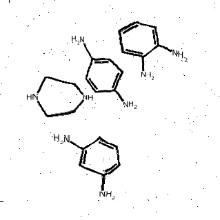 C1CNCCN1.Nc1ccc(N)cc1.Nc1cccc(N)c1.Nc1ccccc1N